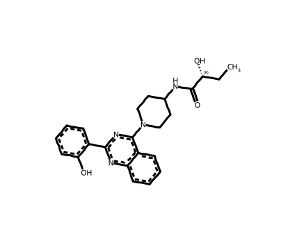 CC[C@@H](O)C(=O)NC1CCN(c2nc(-c3ccccc3O)nc3ccccc23)CC1